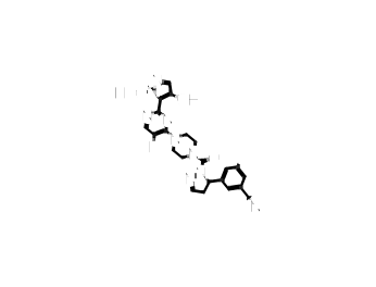 Cc1cnn(C)c1-c1ncc(F)c(N2CCN(C(=O)N3N=CCC3c3cc(F)cc(C#N)c3)CC2)n1